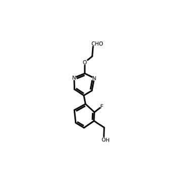 O=CCOc1ncc(-c2cccc(CO)c2F)cn1